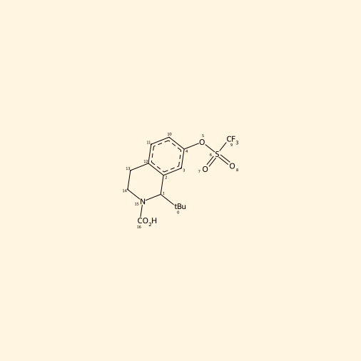 CC(C)(C)C1c2cc(OS(=O)(=O)C(F)(F)F)ccc2CCN1C(=O)O